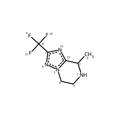 CC1NCCn2nc(C(F)(F)F)nc21